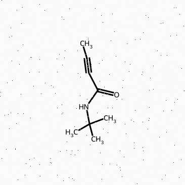 CC#CC(=O)NC(C)(C)C